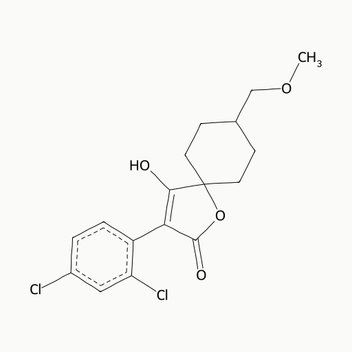 COCC1CCC2(CC1)OC(=O)C(c1ccc(Cl)cc1Cl)=C2O